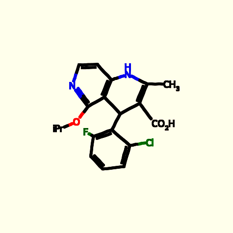 CC1=C(C(=O)O)C(c2c(F)cccc2Cl)c2c(ccnc2OC(C)C)N1